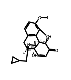 O=C1C=C[C@@]2(O)[C@H]3Cc4ccc(OI)c5c4[C@@]2(CCN3CC2CC2)[C@H]1O5